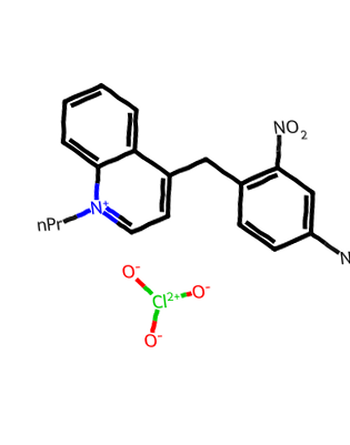 CCC[n+]1ccc(Cc2ccc([N+](=O)[O-])cc2[N+](=O)[O-])c2ccccc21.[O-][Cl+2]([O-])[O-]